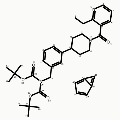 CCc1ncccc1C(=O)N1CCC(c2cccc(CN(C(=O)OC(C)(C)C)C(=O)OC(C)(C)C)c2)CC1.c1cc2cc-2c1